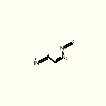 C=N/N=C\C=N